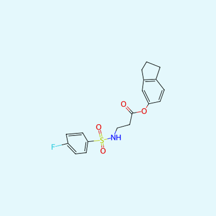 O=C(CCNS(=O)(=O)c1ccc(F)cc1)Oc1ccc2c(c1)CCC2